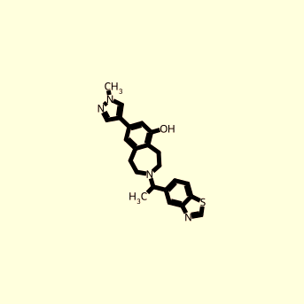 CC(c1ccc2scnc2c1)N1CCc2cc(-c3cnn(C)c3)cc(O)c2CC1